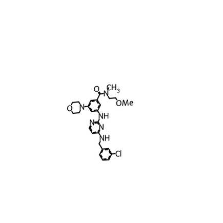 COCCN(C)C(=O)c1cc(Nc2nccc(NCc3cccc(Cl)c3)n2)cc(N2CCOCC2)c1